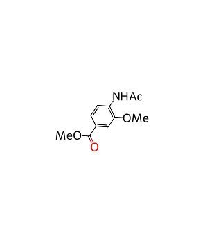 COC(=O)c1ccc(NC(C)=O)c(OC)c1